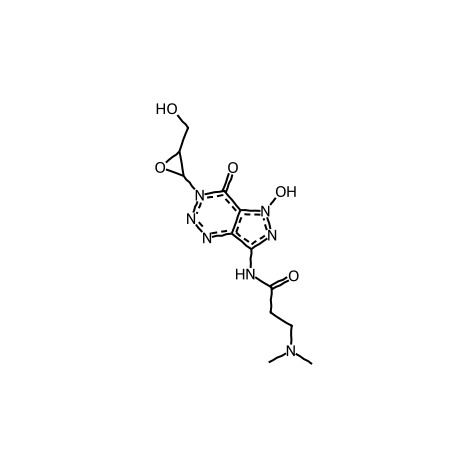 CN(C)CCC(=O)Nc1nn(O)c2c(=O)n(C3OC3CO)nnc12